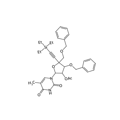 CC[Si](C#CC1(COCc2ccccc2)OC(n2cc(C)c(=O)[nH]c2=O)C(OC(C)=O)C1OCc1ccccc1)(CC)CC